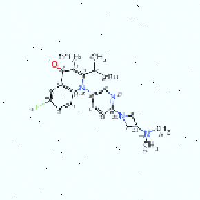 CCCCC(C)c1c(C(=O)O)c(=O)c2cc(F)ccc2n1-c1ccc(N2CC(N(C)C)C2)nc1